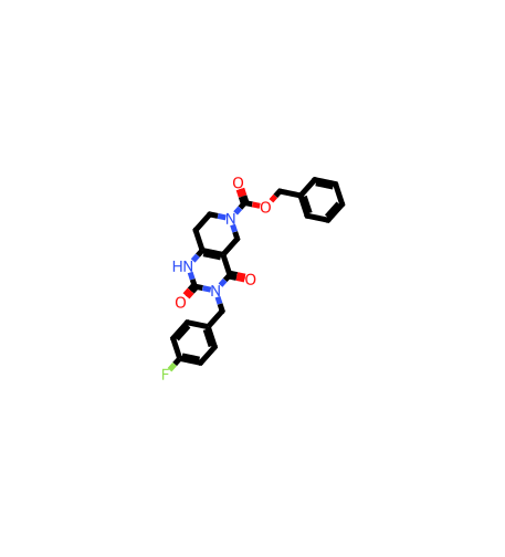 O=C(OCc1ccccc1)N1CCc2[nH]c(=O)n(Cc3ccc(F)cc3)c(=O)c2C1